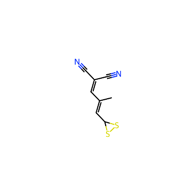 C/C(C=C(C#N)C#N)=C\C1SS1